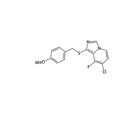 COc1ccc(CSc2ncn3ccc(Cl)c(F)c23)cc1